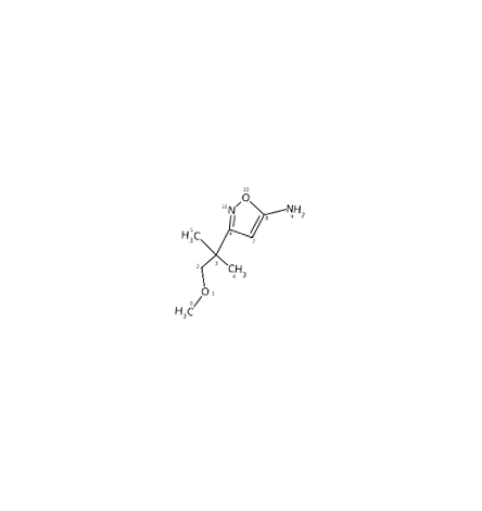 COCC(C)(C)c1cc(N)on1